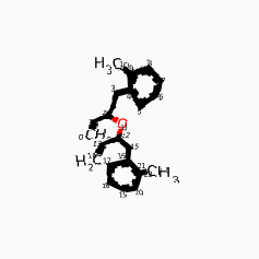 C=CC(Cc1ccccc1C)OC(C=C)Cc1ccccc1C